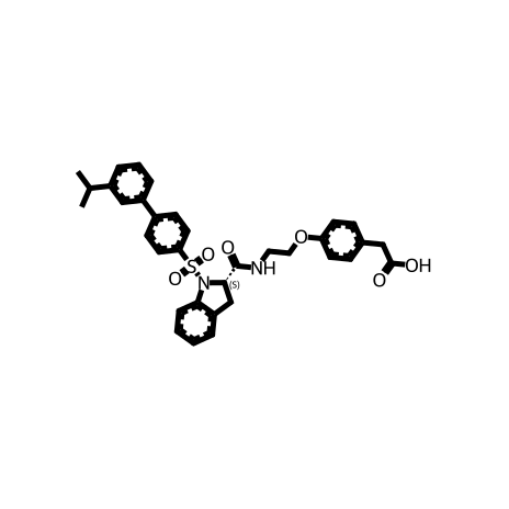 CC(C)c1cccc(-c2ccc(S(=O)(=O)N3c4ccccc4C[C@H]3C(=O)NCCOc3ccc(CC(=O)O)cc3)cc2)c1